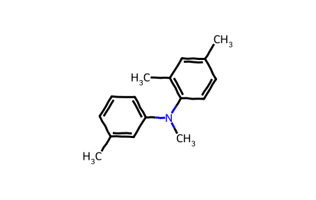 Cc1cccc(N(C)c2ccc(C)cc2C)c1